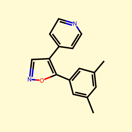 Cc1cc(C)cc(-c2oncc2-c2ccncc2)c1